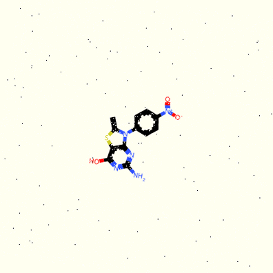 C=C1Sc2c(O)nc(N)nc2N1c1ccc([N+](=O)[O-])cc1